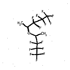 CC(OC(C)C(F)(F)C(F)(F)C(F)(F)F)C(F)(F)C(F)(F)C(F)(F)F